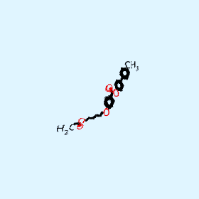 C=CC(=O)OCCCCCCOc1ccc(C(=O)Oc2ccc(-c3ccc(C)cc3)cc2)cc1